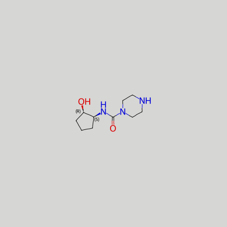 O=C(N[C@H]1CCC[C@H]1O)N1CCNCC1